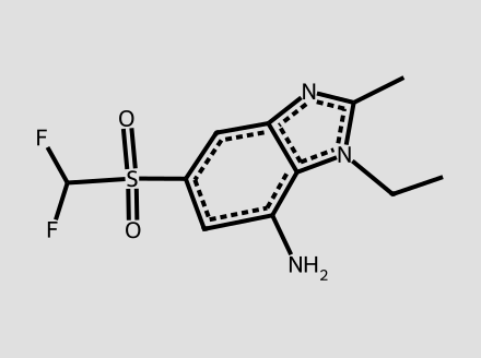 CCn1c(C)nc2cc(S(=O)(=O)C(F)F)cc(N)c21